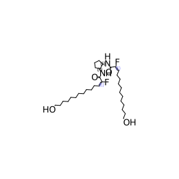 O=C(N[C@H]1CCC[C@H]1NC(=O)/C(F)=C\CCCCCCCCCCCO)/C(F)=C\CCCCCCCCCCCO